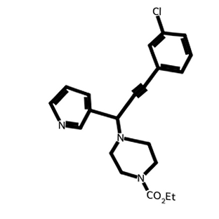 CCOC(=O)N1CCN(C(C#Cc2cccc(Cl)c2)c2cccnc2)CC1